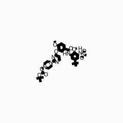 COc1ccc(C(=O)Nc2cc(C(C)(C)C)cc(NS(C)(=O)=O)c2OC)cc1Oc1ccnc(N2CCN(OC(=O)OC(C)(C)C)CC2)n1